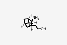 CC1(C)[C@H]2C[C@H](CCO)[C@H](N)[C@@H]1C2